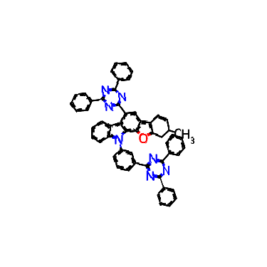 CC1C=Cc2c(oc3c2cc(-c2nc(-c4ccccc4)nc(-c4ccccc4)n2)c2c4ccccc4n(-c4cccc(-c5nc(-c6ccccc6)nc(-c6ccccc6)n5)c4)c32)C1